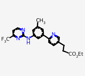 CCOC(=O)CCc1ccc(-c2cc(C)cc(Nc3nccc(C(F)(F)F)n3)c2)nc1